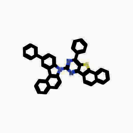 c1ccc(-c2ccc3c(c2)c2c4ccccc4ccc2n3-c2nc(-c3ccccc3)c3sc4c5ccccc5ccc4c3n2)cc1